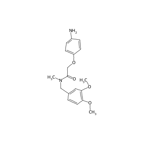 COc1ccc(CN(C)C(=O)COc2ccc(N)cc2)cc1OC